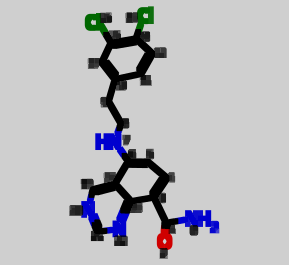 NC(=O)c1ccc(NCCc2ccc(Cl)c(Cl)c2)c2cncnc12